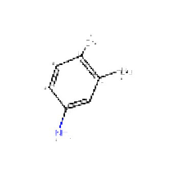 CCCCc1cc(N)ccc1C#N